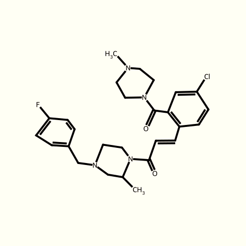 CC1CN(Cc2ccc(F)cc2)CCN1C(=O)/C=C/c1ccc(Cl)cc1C(=O)N1CCN(C)CC1